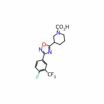 O=C(O)N1CCCC(c2nc(-c3ccc(F)c(C(F)(F)F)c3)no2)C1